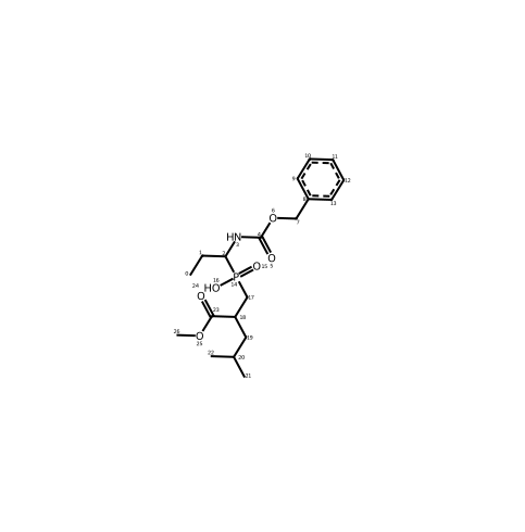 CCC(NC(=O)OCc1ccccc1)P(=O)(O)CC(CC(C)C)C(=O)OC